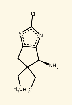 CCC1(CC)Cc2sc(Cl)nc2[C@H]1N